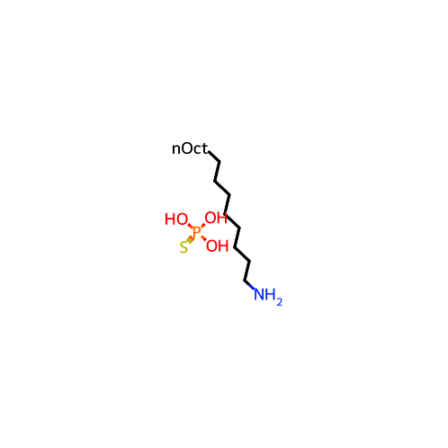 CCCCCCCCCCCCCCCCN.OP(O)(O)=S